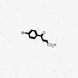 O=C(O)C=CC(=O)c1ccc(Br)cc1